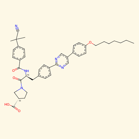 CCCCCCCOc1ccc(-c2cnc(-c3ccc(C[C@H](NC(=O)c4ccc(C(C)(C)C#N)cc4)C(=O)N4CC[C@H](C(=O)O)C4)cc3)nc2)cc1